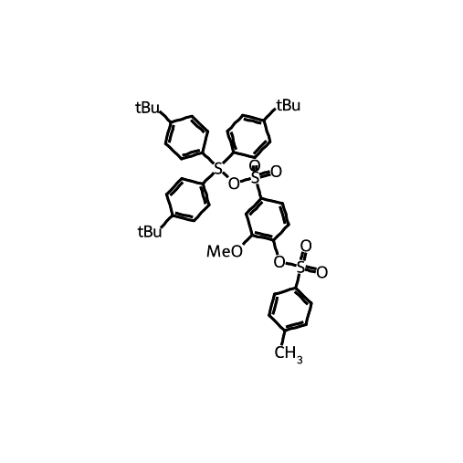 COc1cc(S(=O)(=O)OS(c2ccc(C(C)(C)C)cc2)(c2ccc(C(C)(C)C)cc2)c2ccc(C(C)(C)C)cc2)ccc1OS(=O)(=O)c1ccc(C)cc1